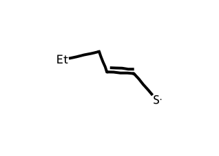 [CH2]CCC=C[S]